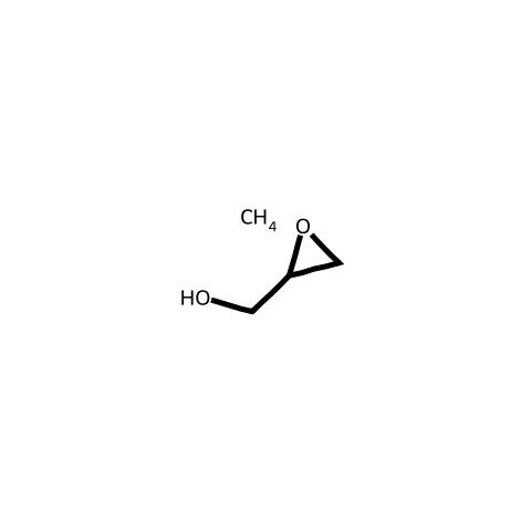 C.OCC1CO1